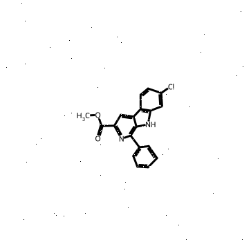 COC(=O)c1cc2c([nH]c3cc(Cl)ccc32)c(-c2ccccc2)n1